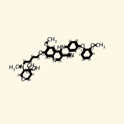 COc1cc2c(Nc3ccc(Oc4ccccc4OC)cc3)c(C#N)cnc2cc1OCCCCN(C)[C@@H]1COCC[C@@]1(C)O